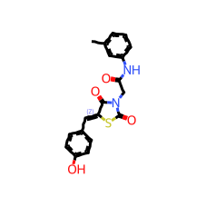 Cc1cccc(NC(=O)CN2C(=O)S/C(=C\c3ccc(O)cc3)C2=O)c1